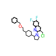 Fc1cc2cc(CCl)c(N3CCCC3C3CCC(CCOCc4ccccc4)CC3)nc2cc1F